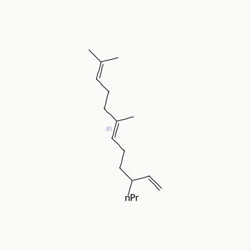 C=CC(CCC)CC/C=C(\C)CCC=C(C)C